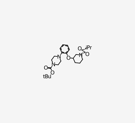 CC(C)S(=O)(=O)N1CCCC(Oc2ccccc2N2CCN(C(=O)OC(C)(C)C)CC2)C1